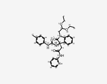 CCOC(CN1C(=O)[C@@](CC(=O)Nc2ccccn2)(NC(=O)Nc2ccc(C)cc2)c2ccccc21)OCC